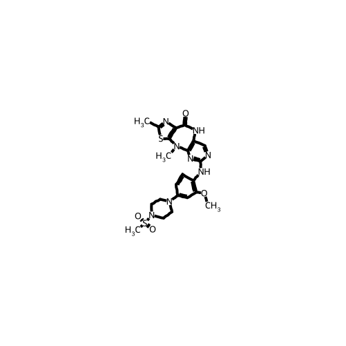 COc1cc(N2CCN(S(C)(=O)=O)CC2)ccc1Nc1ncc2c(n1)N(C)c1sc(C)nc1C(=O)N2